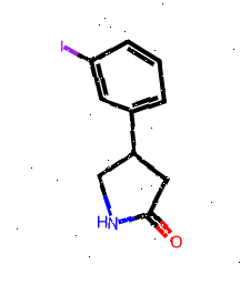 O=C1CC(c2cccc(I)c2)CN1